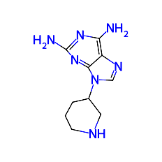 Nc1nc(N)c2ncn(C3CCCNC3)c2n1